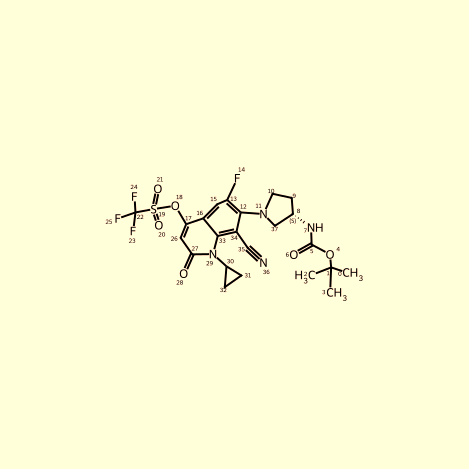 CC(C)(C)OC(=O)N[C@H]1CCN(c2c(F)cc3c(OS(=O)(=O)C(F)(F)F)cc(=O)n(C4CC4)c3c2C#N)C1